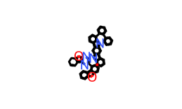 C1=Cc2c(oc3nc(-n4c5ccccc5c5cc6c(cc54)c4cccc5c4n6-c4ccccc4-c4ccccc4-5)c(-c4cccc5oc6ccccc6c45)nc23)CC1